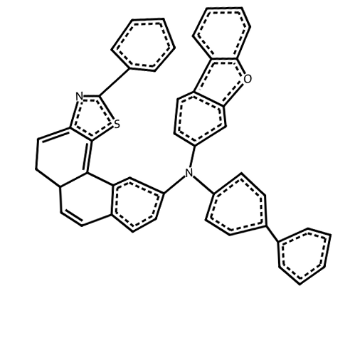 C1=CC2CC=c3nc(-c4ccccc4)sc3=C2c2cc(N(c3ccc(-c4ccccc4)cc3)c3ccc4c(c3)oc3ccccc34)ccc21